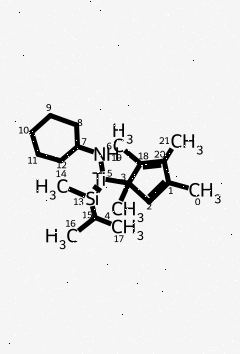 CC1=C[C](C)([Ti]([NH]C2CCCCC2)=[Si](C)C(C)C)C(C)=C1C